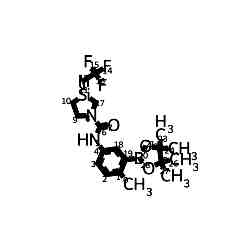 Cc1ccc(NC(=O)N2CC[Si@@H](CC(F)(F)F)C2)cc1B1OC(C)(C)C(C)(C)O1